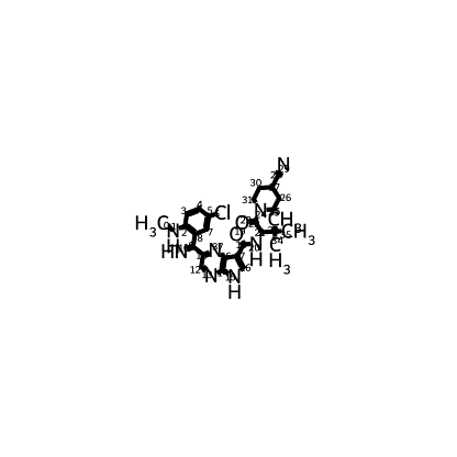 CNc1ccc(Cl)cc1C(=N)c1cnc2[nH]cc(C(=O)N[C@@H](C(=O)N3CCC(C#N)CC3)C(C)(C)C)c2n1